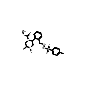 Cc1ccc(S(=O)(=O)NNCc2ccccc2C2CN(Cl)C(F)CN2C(=O)OC(C)(C)C)cc1